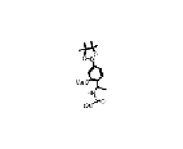 COc1cc(B2OC(C)(C)C(C)(C)O2)ccc1C(C)N[S@@+]([O-])C(C)(C)C